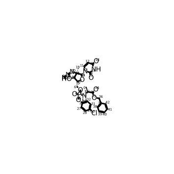 C[C@H](NP(=O)(OC[C@H]1O[C@@H](n2ccc(=O)[nH]c2=O)[C@](C)(N=[N+]=[N-])[C@@H]1O)Oc1ccc(Cl)cc1)C(=O)OCc1ccccc1